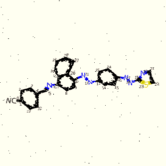 N#Cc1ccc(/C=N/c2ccc(/N=N/c3ccc(/N=N/c4nccs4)cc3)c3ccccc23)cc1